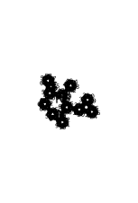 c1ccc(-c2ccc3c4ccccc4n(-c4cc(-c5ccc6c7ccccc7c7ccccc7c6c5)cc(-c5nc(-c6ccccc6)cc(-c6cccc7c6sc6ccccc67)n5)c4)c3c2)cc1